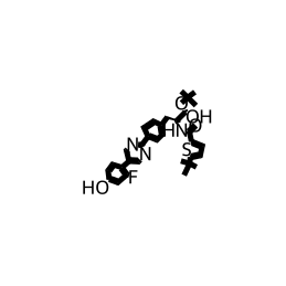 CC(C)(C)OC(O)[C@H](Cc1ccc(-c2ncc(-c3ccc(O)cc3F)cn2)cc1)NC(=O)c1ccc(C(C)(C)C)s1